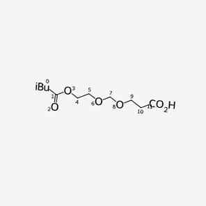 CCC(C)C(=O)OCCOCOCCC(=O)O